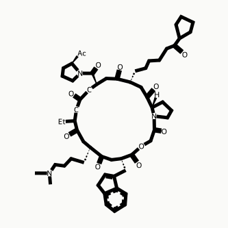 CCC1CC(=O)C[C@@H](C(=O)N2CCC[C@H]2C(C)=O)CC(=O)[C@H](CCCCCC(=O)C2CCCC2)CC(=O)[C@@H]2CCCN2C(=O)COC(=O)[C@H](CC2=CCc3ccccc32)CC(=O)[C@H](CCCCN(C)C)CC1=O